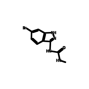 CNC(=O)Nc1n[nH]c2cc(Br)ccc12